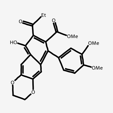 CCC(=O)c1c(C(=O)OC)c(-c2ccc(OC)c(OC)c2)c2cc3c(cc2c1O)OCCO3